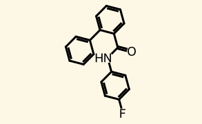 O=C(Nc1ccc(F)cc1)c1ccccc1-c1ccccc1